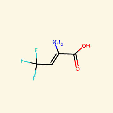 NC(=CC(F)(F)F)C(=O)O